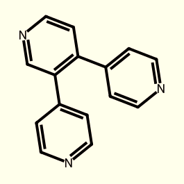 c1cc(-c2ccncc2-c2ccncc2)ccn1